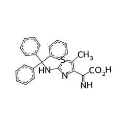 Cc1sc(NC(c2ccccc2)(c2ccccc2)c2ccccc2)nc1C(=N)C(=O)O